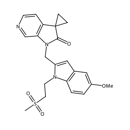 COc1ccc2c(c1)cc(CN1C(=O)C3(CC3)c3ccncc31)n2CCS(C)(=O)=O